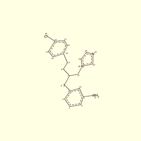 Nc1cccc(SC(CCc2ccc(Cl)cc2)Cn2ccnc2)c1